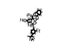 CCc1cc(-c2scnc2C)ccc1CNC(=O)[C@@H]1C[C@@H](O)CN1C(=O)[C@H](C(C)C)N1Cc2ccccc2C1=O